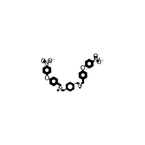 CN(Cc1ccc(Oc2ccc([N+](=O)[O-])cc2)cc1)C[C@H]1CC[C@H](CN(C)Cc2ccc(Oc3ccc([N+](=O)[O-])cc3)cc2)CC1